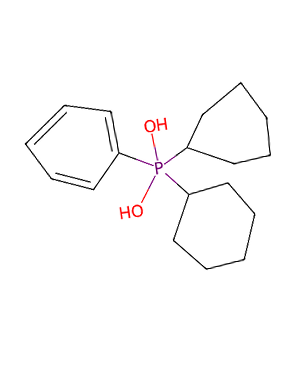 OP(O)(c1ccccc1)(C1CCCCC1)C1CCCCC1